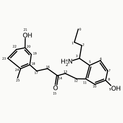 CCCC(N)c1ccc(O)cc1CCC(=O)CCc1cc(O)ccc1C